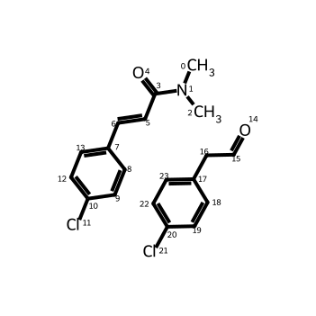 CN(C)C(=O)C=Cc1ccc(Cl)cc1.O=CCc1ccc(Cl)cc1